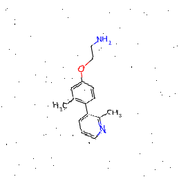 Cc1cc(OCCN)ccc1-c1cccnc1C